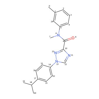 Cc1cccc(N(C)C(=O)c2ncn(-c3ccc(C(C)C)cc3)n2)c1